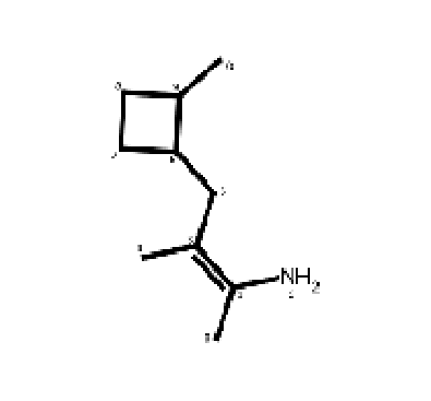 C/C(N)=C(\C)CC1CCC1C